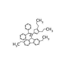 CCCC1=C(CCC)C[C]([Zr](=[C](c2ccccc2)c2ccccc2)[CH]2c3cc(CC)ccc3-c3ccc(CC)cc32)=C1